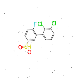 O=[SH](=O)c1ccc(F)c(-c2cccc(Cl)c2Cl)c1